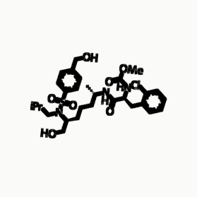 COC(=O)N[C@@H](Cc1ccccc1Cl)C(=O)N[C@@H](C)CCC[C@@H](CO)N(CC(C)C)S(=O)(=O)c1ccc(CO)cc1